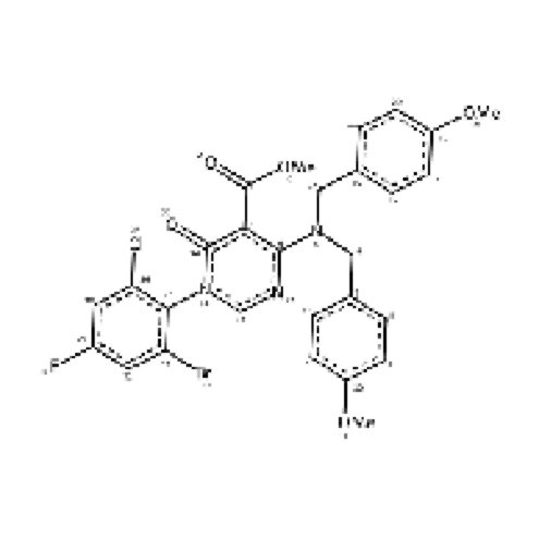 COC(=O)c1c(N(Cc2ccc(OC)cc2)Cc2ccc(OC)cc2)ncn(-c2c(Cl)cc(F)cc2Br)c1=O